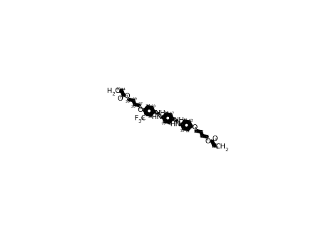 C=CC(=O)OCCCCOc1ccc(NNc2ccc(NNc3ccc(OCCCCOC(=O)C=C)c(C(F)(F)F)c3)cc2)cc1